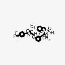 Cc1oc(-c2ccc(C(F)(F)F)cc2)nc1COc1cccc(C(C)(C)C(=O)N2C3=C(CCC=C3)C[C@@H]2C(=O)O)c1